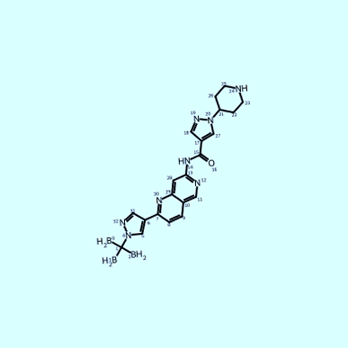 BC(B)(B)n1cc(-c2ccc3cnc(NC(=O)c4cnn(C5CCNCC5)c4)cc3n2)cn1